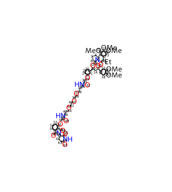 CC[C@H](C(=O)N1CCCC[C@H]1C(=O)O[C@@H](CCc1ccc(OC)c(OC)c1)c1cccc(OCC(=O)NCCCOCCOCCOCCCNC(=O)COc2cccc3c2C(=O)N(C2CCC(=O)NC2=O)C3=O)c1)c1cc(OC)c(OC)c(OC)c1